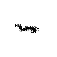 CCS(=O)(=O)N1CC(CC#N)(n2cc(-c3ccnc(Nc4ccc(C(=O)N5CCC(O)CC5)cc4)n3)cn2)C1